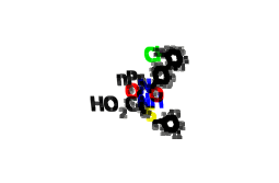 CCCN(C(=O)N[C@@H](CSCc1ccccc1)C(=O)O)C(=O)c1ccc(-c2ccccc2Cl)cc1